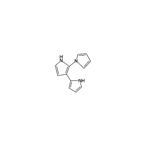 c1c[nH]c(-c2cc[nH]c2-n2cccc2)c1